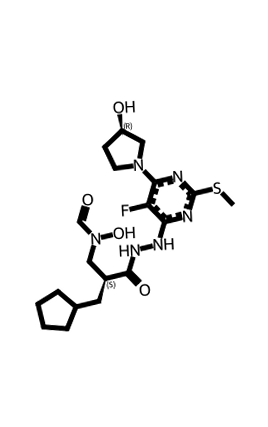 CSc1nc(NNC(=O)[C@@H](CC2CCCC2)CN(O)C=O)c(F)c(N2CC[C@@H](O)C2)n1